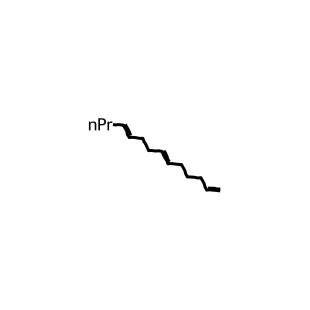 C=CCCCC=CCCC=CCCC